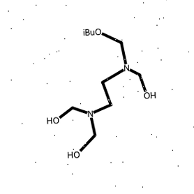 CC(C)COCN(CO)CCN(CO)CO